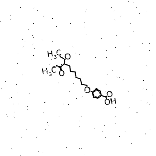 CCC(=O)C(CCCCCCCOc1ccc(C(=O)O)cc1)C(=O)CC